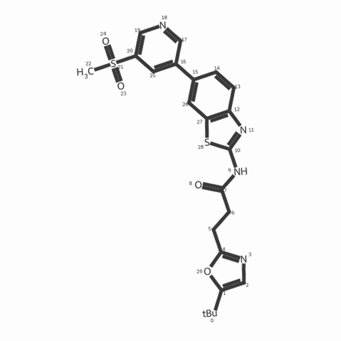 CC(C)(C)c1cnc(CCC(=O)Nc2nc3ccc(-c4cncc(S(C)(=O)=O)c4)cc3s2)o1